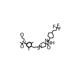 COCCN(C(C)=O)c1cc(C)c(CCSN2CCC3(CC2)N=C(C2CCC(CCC(F)(F)F)CC2)NC3=O)c(C)c1